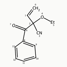 C=CC(C#N)(OCC)C(=O)c1ccccc1